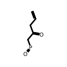 C=CCC(=O)CP=O